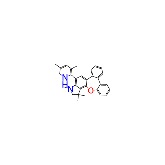 CC1=CC(C)=C(c2cc3c(c4c2N(C)CC4(C)C)Oc2ccccc2-c2ccccc2-3)NC1